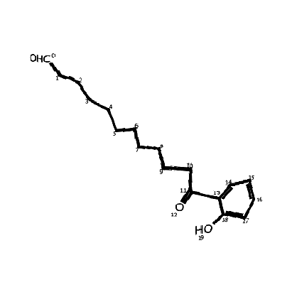 O=CCCCCCCCCCCC(=O)c1ccccc1O